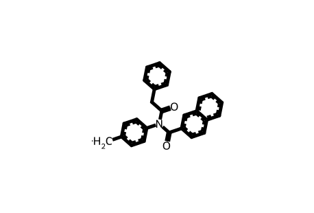 [CH2]c1ccc(N(C(=O)Cc2ccccc2)C(=O)c2ccc3ccccc3c2)cc1